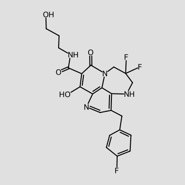 O=C(NCCCO)c1c(O)c2ncc(Cc3ccc(F)cc3)c3c2n(c1=O)CC(F)(F)CN3